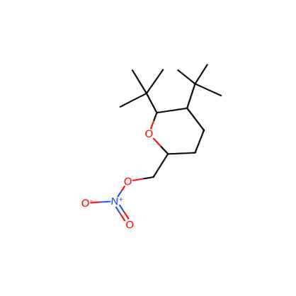 CC(C)(C)C1CCC(CO[N+](=O)[O-])OC1C(C)(C)C